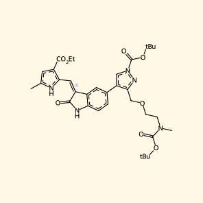 CCOC(=O)c1cc(C)[nH]c1/C=C1\C(=O)Nc2ccc(-c3cn(C(=O)OC(C)(C)C)nc3COCCN(C)C(=O)OC(C)(C)C)cc21